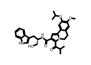 COc1cc2c(cc1OC(C)C)-c1cc(C(=O)N[C@@H](CO)Cc3c[nH]c4ccccc34)c(C(=O)C(C)C)n1CC2